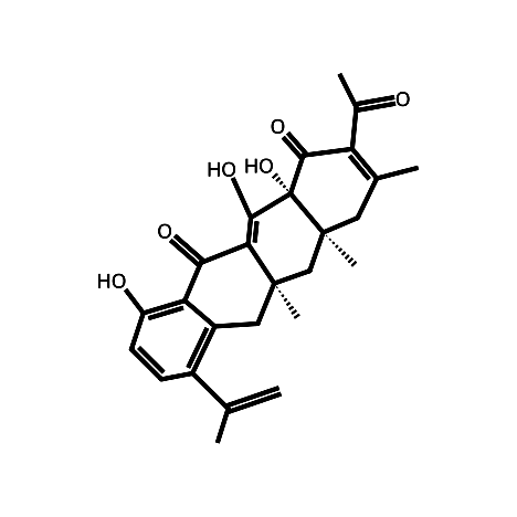 C=C(C)c1ccc(O)c2c1C[C@]1(C)C[C@]3(C)CC(C)=C(C(C)=O)C(=O)[C@]3(O)C(O)=C1C2=O